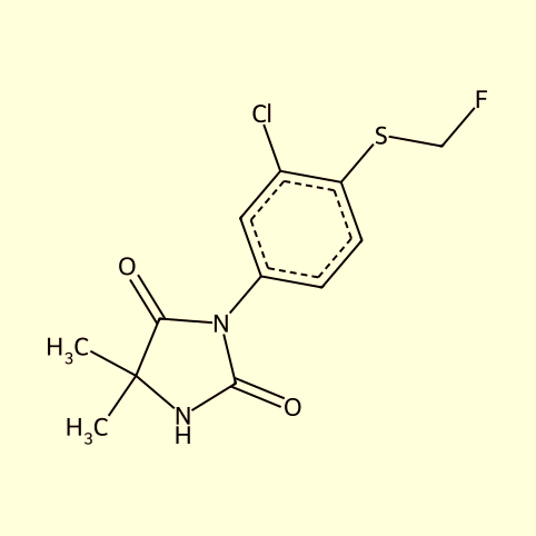 CC1(C)NC(=O)N(c2ccc(SCF)c(Cl)c2)C1=O